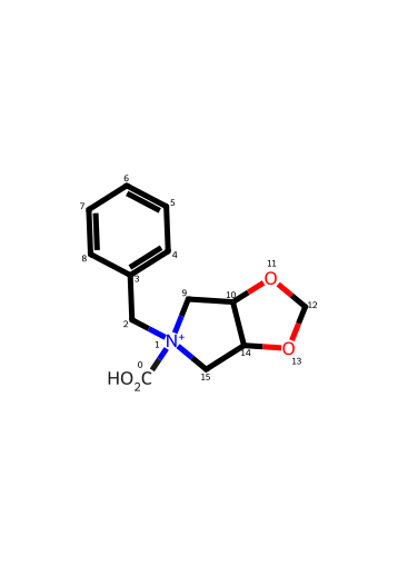 O=C(O)[N+]1(Cc2ccccc2)CC2OCOC2C1